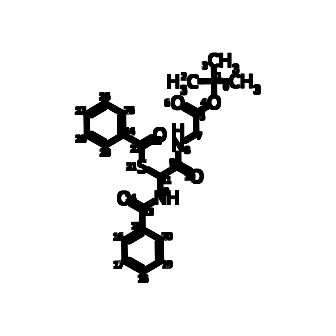 CC(C)(C)OC(=O)CNC(=O)C(NC(=O)c1ccccc1)SC(=O)c1ccccc1